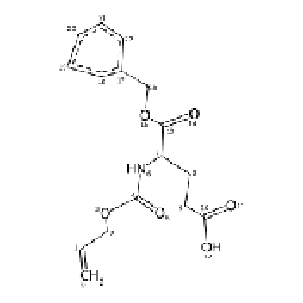 C=CCOC(=O)NC(CCC(=O)O)C(=O)OCc1ccccc1